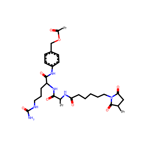 CC(C)C(=O)OCc1ccc(NC(=O)C(CCCNC(N)=O)NC(=O)C(NC(=O)CCCCCN2C(=O)CC(C(C)C)C2=O)C(C)C)cc1